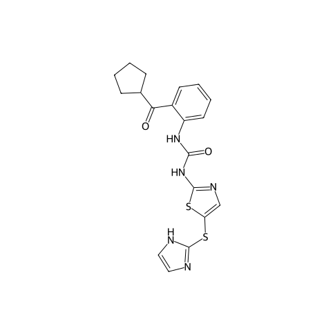 O=C(Nc1ncc(Sc2ncc[nH]2)s1)Nc1ccccc1C(=O)C1CCCC1